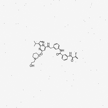 C=C(F)C(=O)Nc1cccc(C(=O)Nc2cccc(CNc3cc(O[C@@H]4CCCN(CCO)C4)nc4c(C(C)C)cnn34)c2)c1